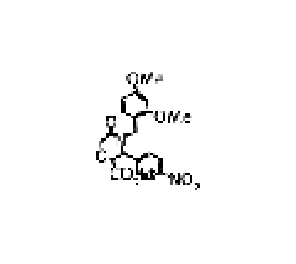 CCOC(=O)C1OCC(=O)N(Cc2ccc(OC)cc2OC)C1c1ccc([N+](=O)[O-])cc1